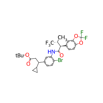 C[C@H]([C@H](C(=O)Nc1cc(C(CC(=O)OC(C)(C)C)C2CC2)ccc1Br)c1ccc2c(c1)OC(F)(F)O2)C(F)(F)F